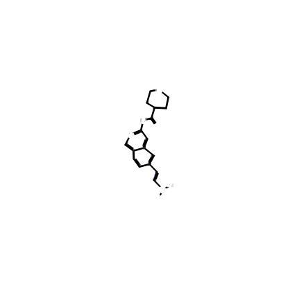 CN(N)/C=C/c1ccc2cnc(NC(=O)C3CCOCC3)cc2c1